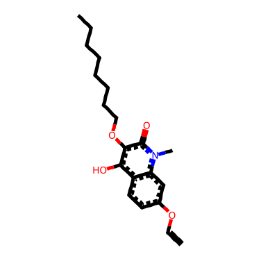 C=COc1ccc2c(O)c(OCCCCCCCC)c(=O)n(C)c2c1